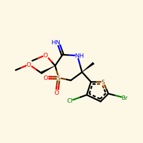 COC[C@@]1(OC)C(=N)N[C@](C)(c2sc(Br)cc2Cl)CS1(=O)=O